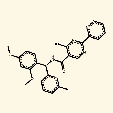 COc1ccc([C@@H](NC(=O)c2cnc(-c3cccnn3)nc2O)c2cccc(C)n2)c(OC)c1